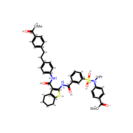 CCCN(c1ccc(C(=O)OC)cc1)S(=O)(=O)c1cccc(C(=O)Nc2sc3c(c2C(=O)Nc2ccc(CCc4ccc(C(=O)OC)cc4)cc2)CCCC3)c1